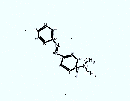 CN(C)C1(I)C=CC(N=Nc2ccccc2)=CC1